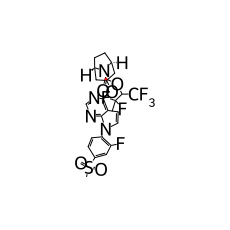 CC(F)(F)C(OC(=O)N1[C@H]2CC[C@H]1CC(Oc1ncnc3c1ccn3-c1ccc(S(C)(=O)=O)cc1F)C2)C(F)(F)F